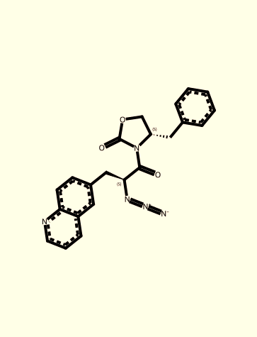 [N-]=[N+]=N[C@@H](Cc1ccc2ncccc2c1)C(=O)N1C(=O)OC[C@@H]1Cc1ccccc1